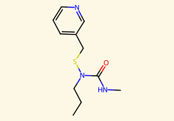 CCCN(SCc1cccnc1)C(=O)NC